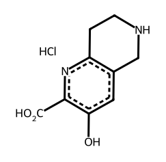 Cl.O=C(O)c1nc2c(cc1O)CNCC2